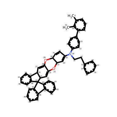 Cc1cccc(-c2ccc(N(CCc3ccccc3)C3=CC4OC5=CC6C(C=C5OC4C=C3)c3ccccc3C63c4ccccc4-c4ccccc43)cc2)c1C